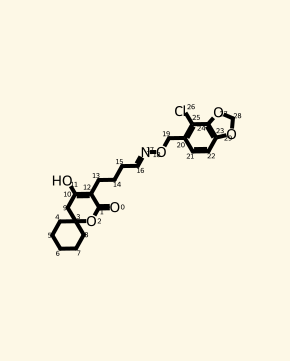 O=C1OC2(CCCCC2)CC(O)=C1CCCC=NOCc1ccc2c(c1Cl)OCO2